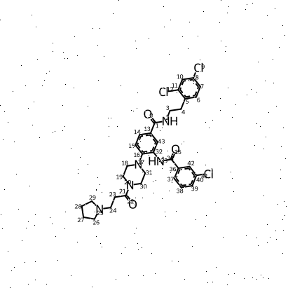 O=C(NCCc1ccc(Cl)cc1Cl)c1ccc(N2CCN(C(=O)CCN3CCCC3)CC2)c(NC(=O)c2cccc(Cl)c2)c1